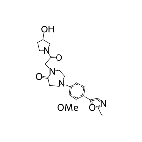 COc1cc(N2CCC(=O)N(CC(=O)N3CCC(O)C3)CC2)ccc1-c1cnc(C)o1